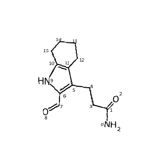 NC(=O)CCc1c(C=O)[nH]c2c1CCCC2